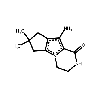 CC1(C)Cc2c(N)c3n(c2C1)CCNC3=O